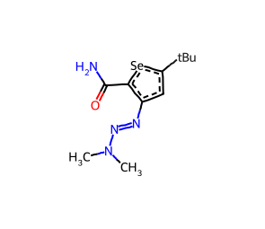 CN(C)N=Nc1cc(C(C)(C)C)[se]c1C(N)=O